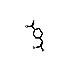 O=C(Cl)C1CCC(C=C(Br)Br)CC1